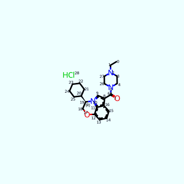 CCN1CCN(C(=O)c2cn3c4c(cccc24)OC[C@H]3C2CCCCC2)CC1.Cl